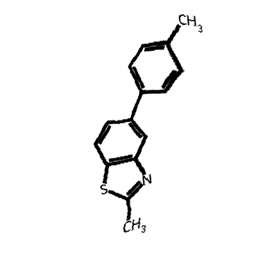 Cc1ccc(-c2ccc3sc(C)nc3c2)cc1